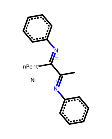 CCCCCC(=N\c1ccccc1)/C(C)=N/c1ccccc1.[Ni]